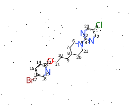 Clc1cnc(N2CCC(CCCOc3ccc(Br)cn3)CC2)nc1